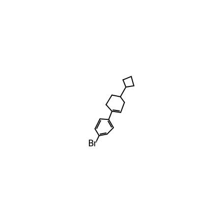 Brc1ccc(C2=CCC(C3CCC3)CC2)cc1